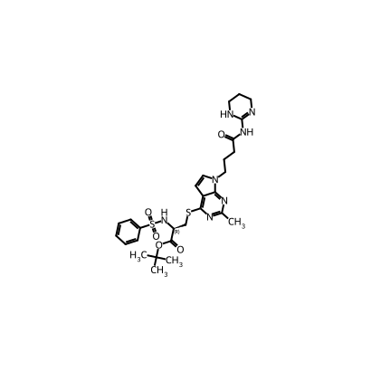 Cc1nc(SC[C@H](NS(=O)(=O)c2ccccc2)C(=O)OC(C)(C)C)c2ccn(CCCC(=O)NC3=NCCCN3)c2n1